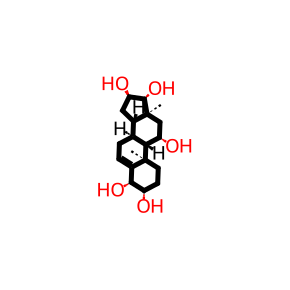 C[C@]12C[C@H](O)[C@H]3[C@@H](CC=C4[C@@H](O)[C@@H](O)CC[C@@]43C)[C@@H]1C[C@@H](O)[C@@H]2O